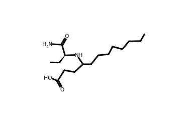 CCCCCCCCC(CCC(=O)O)N[C@@H](CC)C(N)=O